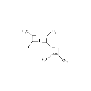 CC1=C(C)C(C2C(C)C3C(C)C(I)C23)C1